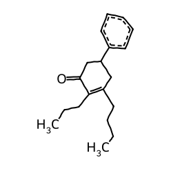 CCCCC1=C(CCC)C(=O)CC(c2ccccc2)C1